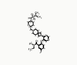 CC(C)N(CC(F)(F)F)C(=O)c1cc(F)ccc1Oc1cncnc1N1CC2(CCN(C[C@@H]3CC[C@@H](NS(=O)(=O)N(C)C)CO3)CC2)C1